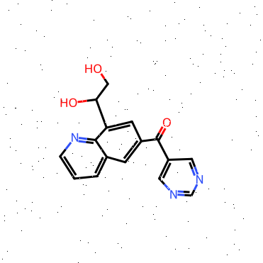 O=C(c1cncnc1)c1cc(C(O)CO)c2ncccc2c1